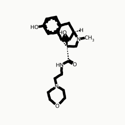 CN1CC[C@]23C[C@@H](C(=O)NCCN4CCOCC4)C[C@@]2(O)[C@H]1Cc1ccc(O)cc13